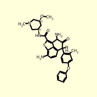 CO[C@H]1C[C@@H](NC(=O)c2sc3c(N)ccc4c3c2C(N)C(=O)C4(N)c2ccc(Oc3ccccc3)cc2C)CN(C)C1